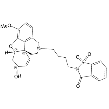 COc1ccc2c3c1O[C@H]1C[C@@H](O)C=C[C@@]31CCN(CCCCN1C(=O)c3ccccc3S1(=O)=O)C2